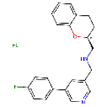 Cl.Fc1ccc(-c2cncc(CNC[C@@H]3CCc4ccccc4O3)c2)cc1